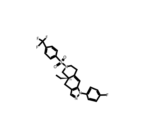 CC[C@]12Cc3cnn(-c4ccc(F)cc4)c3C=C1CCN(S(=O)(=O)c1ccc(C(F)(F)F)cc1)C2